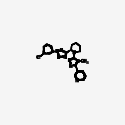 Cn1c(-c2cccnc2)nnc1N1CCCC[C@@H]1c1nnn(-c2cccc(Cl)c2)n1